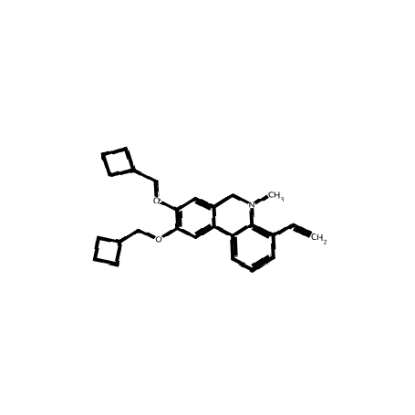 C=Cc1cccc2c1N(C)Cc1cc(OCC3CCC3)c(OCC3CCC3)cc1-2